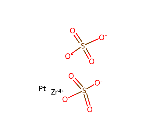 O=S(=O)([O-])[O-].O=S(=O)([O-])[O-].[Pt].[Zr+4]